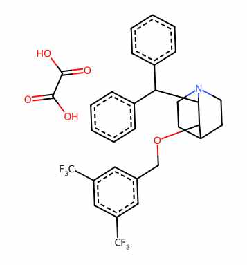 FC(F)(F)c1cc(COC2C3CCN(CC3)C2C(c2ccccc2)c2ccccc2)cc(C(F)(F)F)c1.O=C(O)C(=O)O